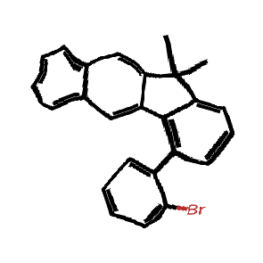 CC1(C)c2cc3ccccc3cc2-c2c(-c3ccccc3Br)cccc21